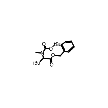 CCC(C)C(C(=O)OCc1ccccc1)N(C)C(=O)OC(C)(C)C